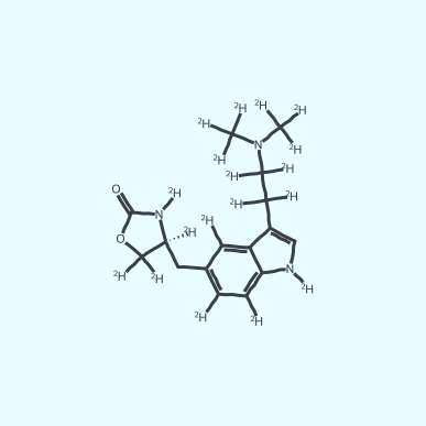 [2H]c1c(C[C@]2([2H])N([2H])C(=O)OC2([2H])[2H])c([2H])c2c(C([2H])([2H])C([2H])([2H])N(C([2H])([2H])[2H])C([2H])([2H])[2H])cn([2H])c2c1[2H]